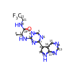 C[C@H](Nc1ncnc(-c2c[nH]c3ncncc23)n1)C(=O)NCC(F)(F)F